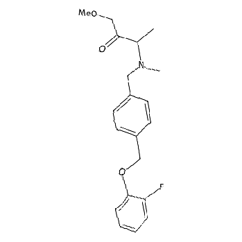 COCC(=O)C(C)N(C)Cc1ccc(COc2ccccc2F)cc1